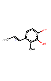 COc1c(/C=C/[C]=O)ccc(O)c1O